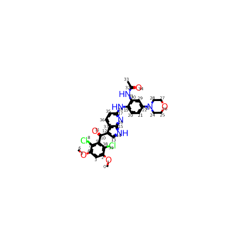 COc1cc(OC)c(Cl)c(C(=O)c2c[nH]c3nc(Nc4ccc(N5CCOCC5)cc4NC(C)=O)ccc23)c1Cl